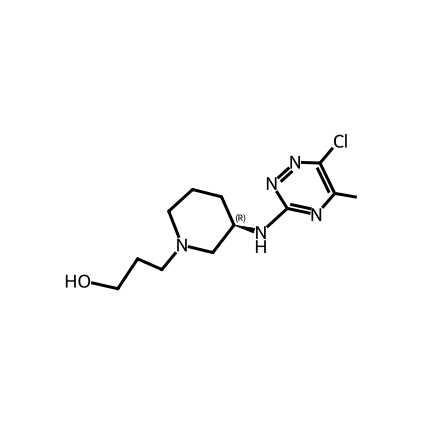 Cc1nc(N[C@@H]2CCCN(CCCO)C2)nnc1Cl